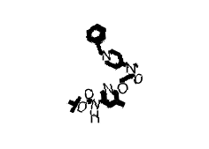 Cc1cc(NC(=O)OC(C)(C)C)cnc1OCC(=O)N(C)C1CCN(Cc2ccccc2)CC1